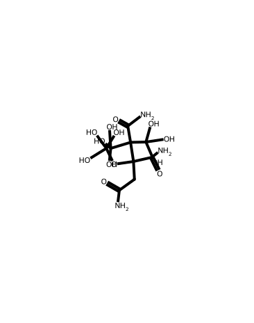 NC(=O)CC(OC(O)(O)O)(C(N)=O)C(C(N)=O)(C(O)(O)O)C(O)(O)O